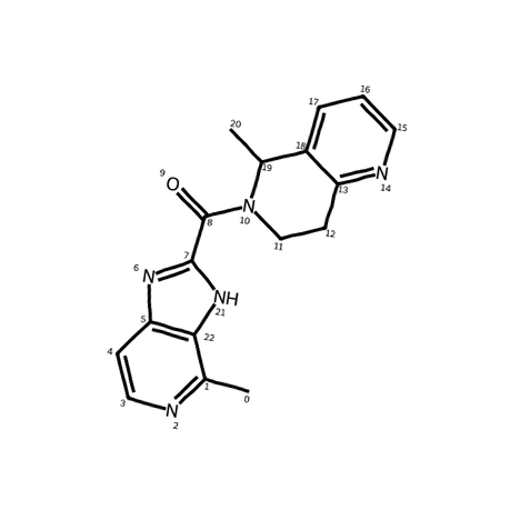 Cc1nccc2nc(C(=O)N3CCc4ncccc4C3C)[nH]c12